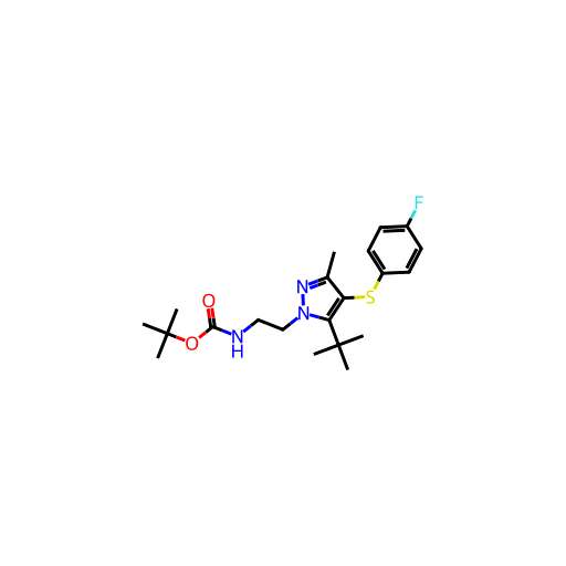 Cc1nn(CCNC(=O)OC(C)(C)C)c(C(C)(C)C)c1Sc1ccc(F)cc1